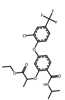 CCOC(=O)C(C)Oc1cc(Oc2ccc(C(F)(F)F)cc2Cl)ccc1C(=O)NC(C)C